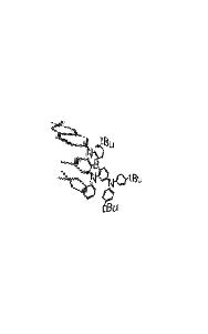 Cc1cc2c3c(c1)N(c1cccc4c1CC(C)(C)C4)c1cc(N(c4ccc(C(C)(C)C)cc4)c4ccc(C(C)(C)C)cc4)ccc1B3c1ccc(C(C)(C)C)cc1N2c1ccc2c(c1)CC(C)(C)C2